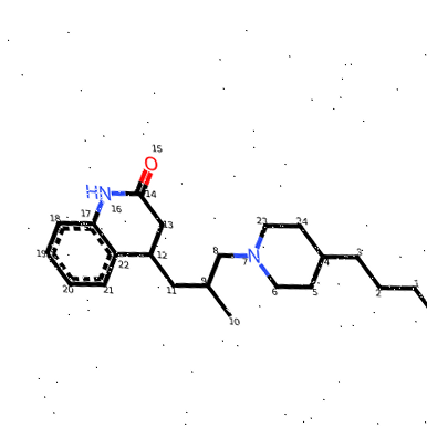 CCCCC1CCN(CC(C)CC2CC(=O)Nc3ccccc32)CC1